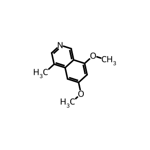 COc1cc(OC)c2cncc(C)c2c1